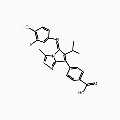 Cc1nnc2n1C(=Nc1ccc(O)c(F)c1)C(C(C)C)=C2c1ccc(C(=O)O)cc1